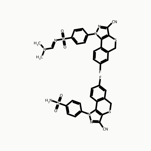 CN(C)C=NS(=O)(=O)c1ccc(-n2nc(C#N)c3c2-c2ccc(F)cc2CS3)cc1.N#Cc1nn(-c2ccc(S(N)(=O)=O)cc2)c2c1SCc1cc(F)ccc1-2